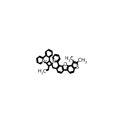 C=CC1C2C(c3ccccc3-c3cccc[n+]32)C12Cc1ccc3c(oc4c3ccc3sc(C)c(C)c34)c1-c1cccc[n+]12